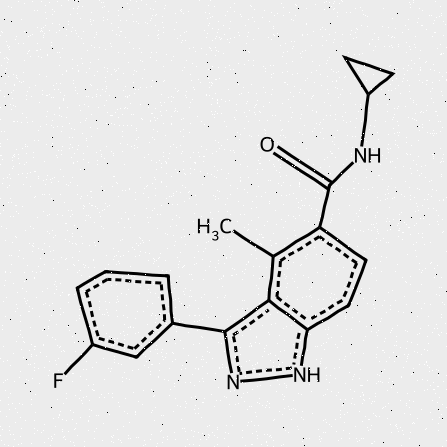 Cc1c(C(=O)NC2CC2)ccc2[nH]nc(-c3cccc(F)c3)c12